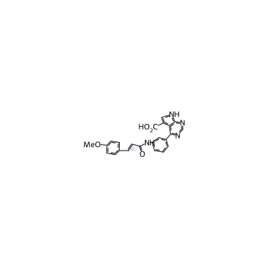 COc1ccc(/C=C/C(=O)Nc2cccc(-c3ncnc4[nH]cc(C(=O)O)c34)c2)cc1